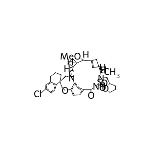 CO[C@H]1C2=C[C@H](C2)[C@H](C)N(C[C@H]2CCCO2)S(=O)(=O)NC(=O)c2ccc3c(c2)N(C[C@@H]2CC[C@H]21)C[C@@]1(CCCc2cc(Cl)ccc21)CO3